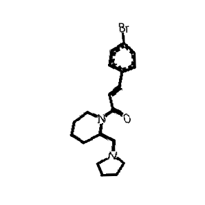 O=C(/C=C/c1ccc(Br)cc1)N1CCCCC1CN1CCCC1